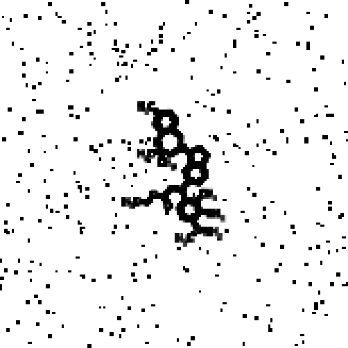 CCOC(=O)CC(c1ccc2c(c1)C(N1Cc3ccc(C)cc3OC(C)(C)C1)CC2)c1ccc(N(C)N)c(N)c1C